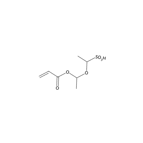 C=CC(=O)OC(C)OC(C)S(=O)(=O)O